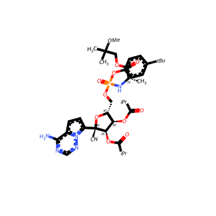 COC(C)(C)COC(=O)[C@H](C)NP(=O)(OC[C@H]1O[C@@](C#N)(c2ccc3c(N)ncnn23)[C@H](OC(=O)C(C)C)[C@@H]1OC(=O)C(C)C)Oc1ccc(C(C)(C)C)cc1